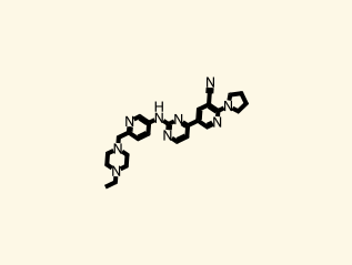 CCN1CCN(Cc2ccc(Nc3nccc(-c4cnc(N5CCCC5)c(C#N)c4)n3)cn2)CC1